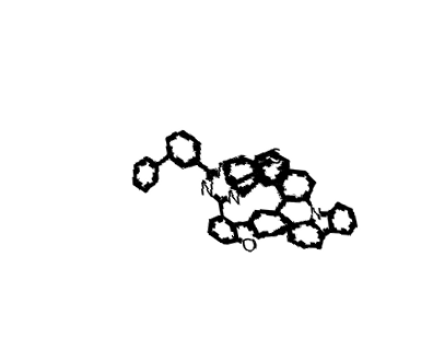 c1ccc(-c2cccc(-c3nc(-c4ccccc4)nc(-c4cccc5oc6ccc(-c7c(-n8c9ccccc9c9ccccc98)ccc8sc9ccccc9c78)cc6c45)n3)c2)cc1